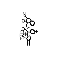 COc1c(C#N)cc2ccccc2c1CN(C)C(=O)C(c1ccc(F)cc1)N(C(=O)C(F)(F)F)C1CCNC1